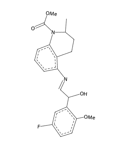 COC(=O)N1c2cccc(/N=C/C(O)c3cc(F)ccc3OC)c2CCC1C